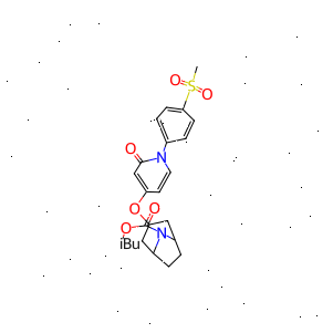 CCC(C)OC(=O)N1C2CCC1CC(Oc1ccn(-c3ccc(S(C)(=O)=O)cc3)c(=O)c1)C2